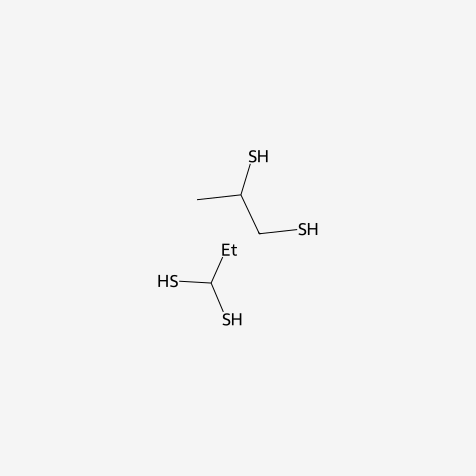 CC(S)CS.CCC(S)S